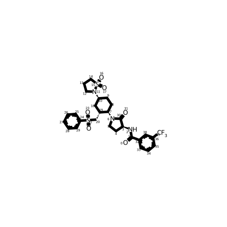 O=C(N[C@H]1CCN([C@H]2CC[C@@H](N3CCCS3(=O)=O)C[C@H]2CS(=O)(=O)c2ccccc2)C1=O)c1cccc(C(F)(F)F)c1